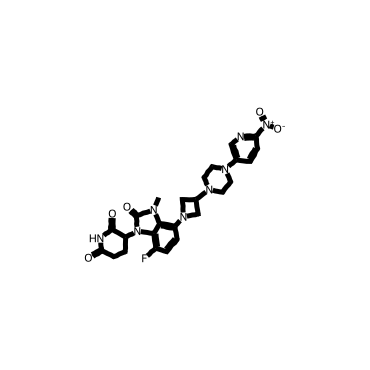 Cn1c(=O)n(C2CCC(=O)NC2=O)c2c(F)ccc(N3CC(N4CCN(c5ccc([N+](=O)[O-])nc5)CC4)C3)c21